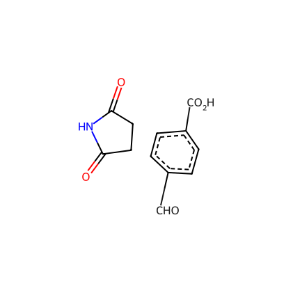 O=C1CCC(=O)N1.O=Cc1ccc(C(=O)O)cc1